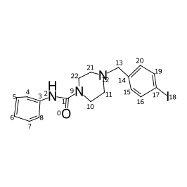 O=C(Nc1ccccc1)N1CCN(Cc2ccc(I)cc2)CC1